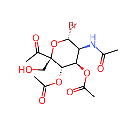 CC(=O)N[C@H]1[C@@H](OC(C)=O)[C@H](OC(C)=O)[C@](CO)(C(C)=O)O[C@@H]1Br